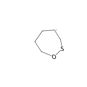 [CH]1CCCOSC1